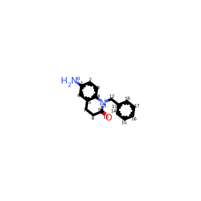 Nc1ccc2c(c1)CCC(=O)N2Cc1ccccc1